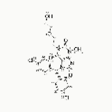 Cn1c(=O)n(CCOCCO)c(=O)c2c1nc(Oc1cccc(Cl)c1)n2Cc1ccc(Cl)cc1